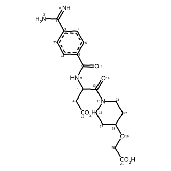 N=C(N)c1ccc(C(=O)NC(CC(=O)O)C(=O)N2CCC(OCC(=O)O)CC2)cc1